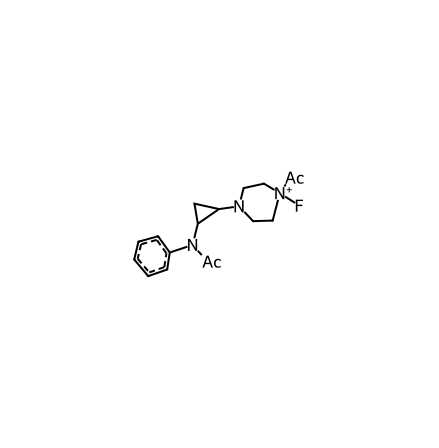 CC(=O)N(c1ccccc1)C1CC1N1CC[N+](F)(C(C)=O)CC1